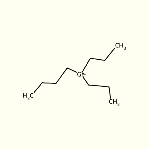 CCC[CH2][Ge]([CH2]CC)[CH2]CC